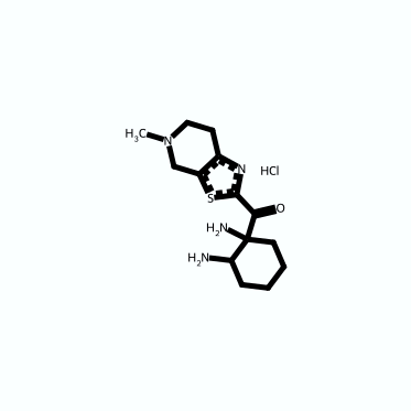 CN1CCc2nc(C(=O)C3(N)CCCCC3N)sc2C1.Cl